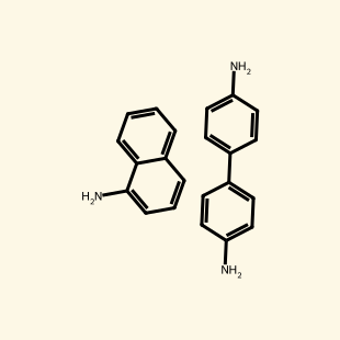 Nc1ccc(-c2ccc(N)cc2)cc1.Nc1cccc2ccccc12